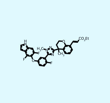 CCOC(=O)/C=C/c1cccc2c1OCCC2(C)c1nc(-c2cc(Oc3c(F)cc4[nH]ccc4c3F)ccc2F)n(C)n1